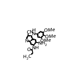 C=CC(=O)Nc1cc2ncc(C#N)c(Nc3cc(OC)c(OC)c(OC)c3)c2cc1N